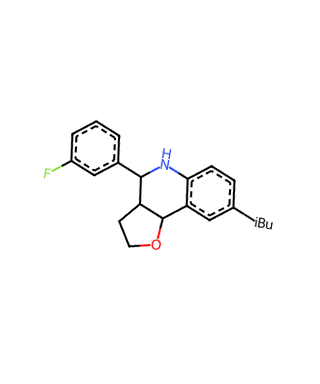 CCC(C)c1ccc2c(c1)C1OCCC1C(c1cccc(F)c1)N2